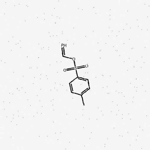 Cc1ccc(S(=O)(=O)OC=P)cc1